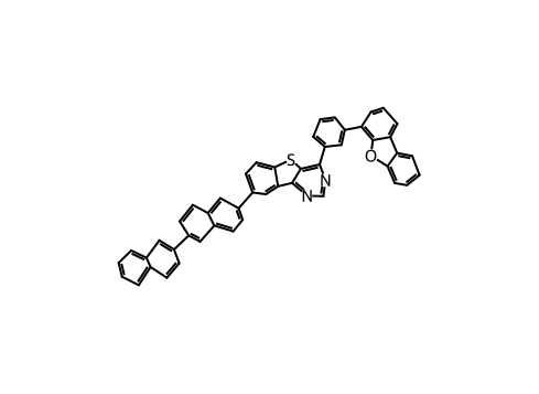 c1cc(-c2cccc3c2oc2ccccc23)cc(-c2ncnc3c2sc2ccc(-c4ccc5cc(-c6ccc7ccccc7c6)ccc5c4)cc23)c1